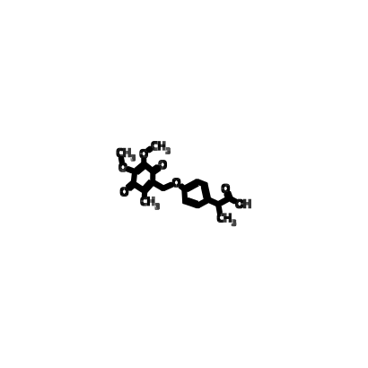 COC1=C(OC)C(=O)C(COc2ccc(C(C)C(=O)O)cc2)=C(C)C1=O